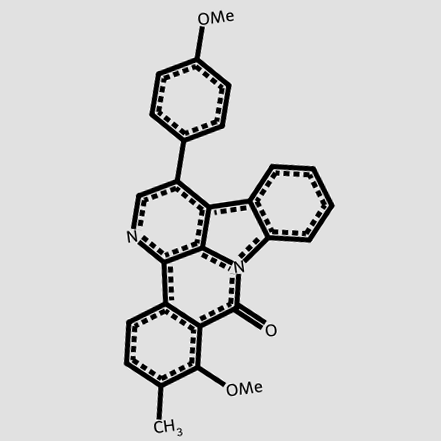 COc1ccc(-c2cnc3c4ccc(C)c(OC)c4c(=O)n4c5ccccc5c2c34)cc1